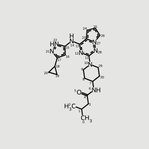 CC(C)CC(=O)NC1CCN(c2nc(Nc3cc(C4CC4)n[nH]3)c3cccn3n2)CC1